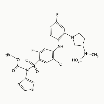 CN(C(=O)O)C1CCN(c2cc(F)ccc2Nc2cc(F)c(S(=O)(=O)N(C(=O)OC(C)(C)C)c3cscn3)cc2Cl)C1